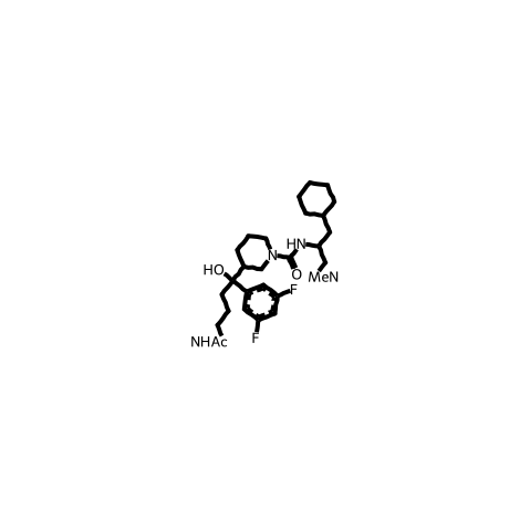 CNCC(CC1CCCCC1)NC(=O)N1CCCC(C(O)(CCCNC(C)=O)c2cc(F)cc(F)c2)C1